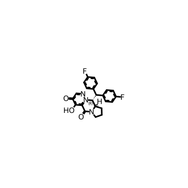 O=C1c2c(O)c(=O)cnn2[C@H](C(c2ccc(F)cc2)c2ccc(F)cc2)[C@H]2CCCN12